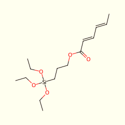 CC=CC=CC(=O)OCCC[Si](OCC)(OCC)OCC